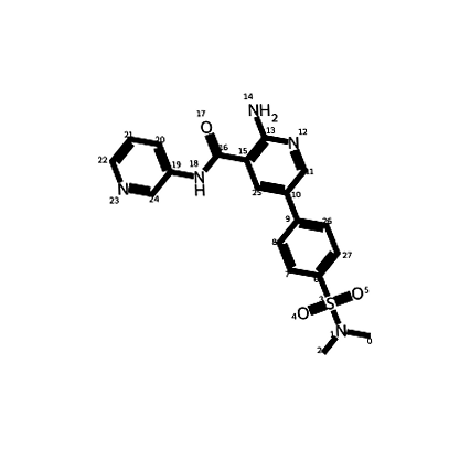 CN(C)S(=O)(=O)c1ccc(-c2cnc(N)c(C(=O)Nc3cccnc3)c2)cc1